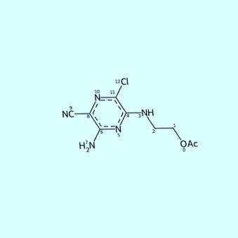 CC(=O)OCCNc1nc(N)c(C#N)nc1Cl